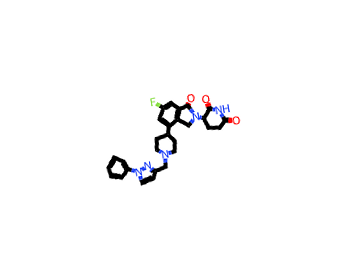 O=C1CCC(N2Cc3c(cc(F)cc3C3CCN(Cc4ccn(-c5ccccc5)n4)CC3)C2=O)C(=O)N1